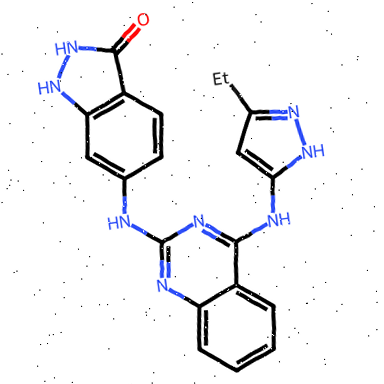 CCc1cc(Nc2nc(Nc3ccc4c(=O)[nH][nH]c4c3)nc3ccccc23)[nH]n1